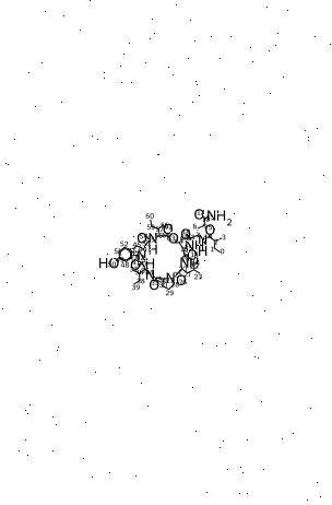 CCC(C)C(=O)N[C@@H](CCC(N)=O)C(=O)N[C@@H]1C(=O)N[C@@H](CC(C)C)C(=O)N2CCCC2C(=O)NC(C(C)CC)C(=O)N(C)C(Cc2ccc(O)cc2)C(=O)N[C@@H](C(C)CC)C(=O)O[C@@H]1C